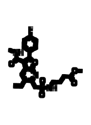 C=Cc1cc2c(C(=O)NC)c(-c3ccc(F)cc3)oc2nc1CS(=O)(=O)NCCCC(=O)OC